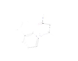 NC(=O)CC(N)C(=O)O.O=S(=O)(O)Oc1ccccc1